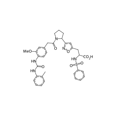 COc1cc(CC(=O)N2CCCC2c2cc(CC(NS(=O)(=O)c3ccccc3)C(=O)O)on2)ccc1NC(=O)Nc1ccccc1C